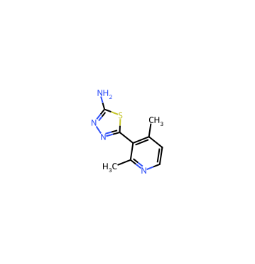 Cc1ccnc(C)c1-c1nnc(N)s1